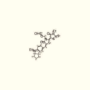 CCN1C(=O)/C(=c2/s/c(=C/c3ccc4c(c3)C3CCCC3N4CC)c(=O)n2COC=O)SC1=S